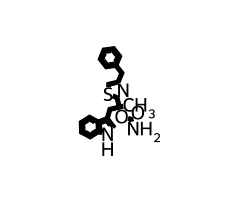 CC(Cc1c[nH]c2ccccc12)(OC(N)=O)C1=NC(Cc2ccccc2)CS1